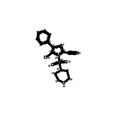 N#Cc1nc(-c2ccccc2)c(Cl)n1S(=O)(=O)N1CCOCC1